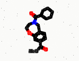 COC(=O)c1ccc2c(c1)OCCN(C(=O)C1CCCCC1)C2